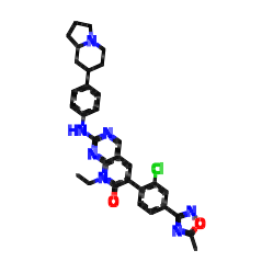 CCn1c(=O)c(-c2ccc(-c3noc(C)n3)cc2Cl)cc2cnc(Nc3ccc(C4CCN5CCCC5C4)cc3)nc21